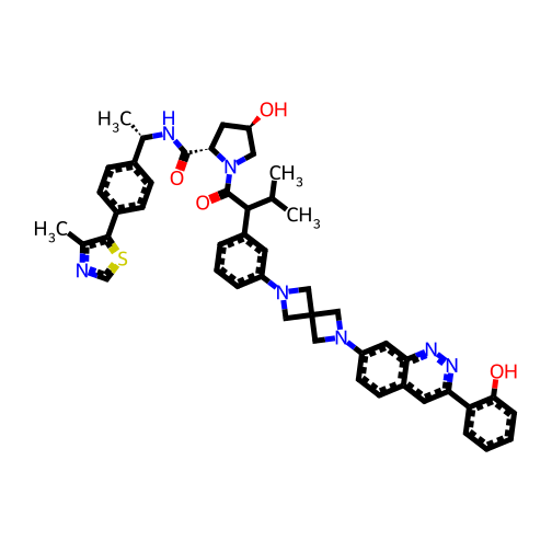 Cc1ncsc1-c1ccc([C@H](C)NC(=O)[C@@H]2C[C@@H](O)CN2C(=O)C(c2cccc(N3CC4(C3)CN(c3ccc5cc(-c6ccccc6O)nnc5c3)C4)c2)C(C)C)cc1